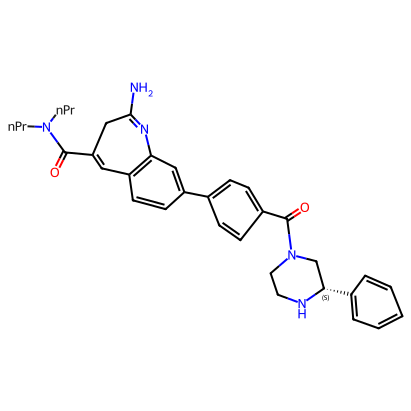 CCCN(CCC)C(=O)C1=Cc2ccc(-c3ccc(C(=O)N4CCN[C@@H](c5ccccc5)C4)cc3)cc2N=C(N)C1